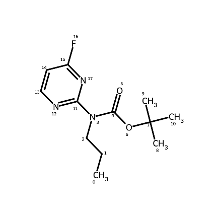 CCCN(C(=O)OC(C)(C)C)c1nccc(F)n1